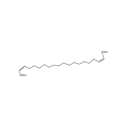 CCCCCC/C=C\CCCCCCCCCCCCCC/C=C\CCCCCC